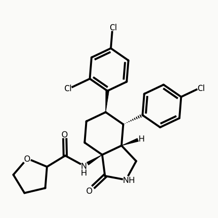 O=C(N[C@@]12CC[C@@H](c3ccc(Cl)cc3Cl)[C@H](c3ccc(Cl)cc3)[C@@H]1CNC2=O)C1CCCO1